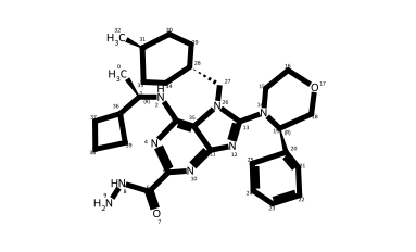 C[C@@H](Nc1nc(C(=O)NN)nc2nc(N3CCOC[C@H]3c3ccccc3)n(C[C@H]3CC[C@H](C)CC3)c12)C1CCC1